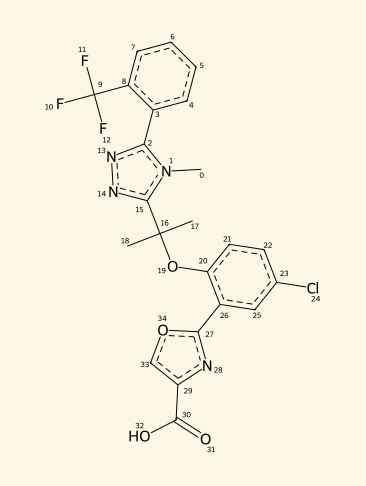 Cn1c(-c2ccccc2C(F)(F)F)nnc1C(C)(C)Oc1ccc(Cl)cc1-c1nc(C(=O)O)co1